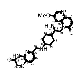 COc1cnc2ccc(=O)n(CC(N)C3CCC(NCc4ccc5c(n4)NC(=O)CO5)CC3)c2c1